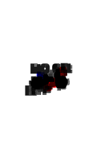 CCOC(=O)C(Cc1ccccc1OCc1cnc2ccc(CC)cc2c1OC(C)C)OCC